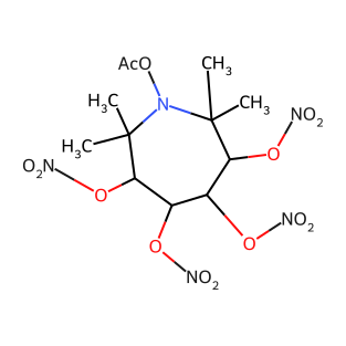 CC(=O)ON1C(C)(C)C(O[N+](=O)[O-])C(O[N+](=O)[O-])C(O[N+](=O)[O-])C(O[N+](=O)[O-])C1(C)C